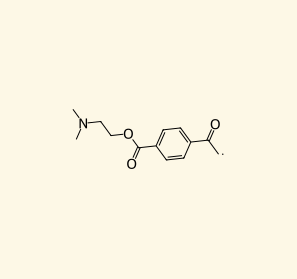 [CH2]C(=O)c1ccc(C(=O)OCCN(C)C)cc1